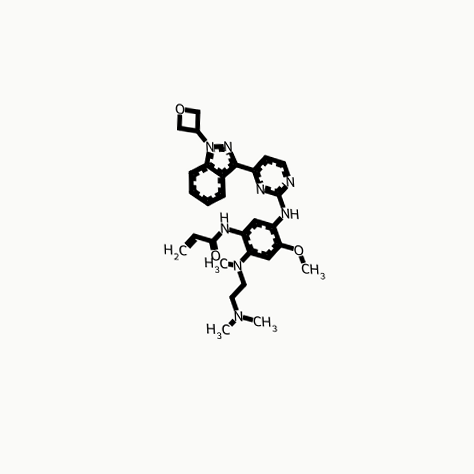 C=CC(=O)Nc1cc(Nc2nccc(-c3nn(C4COC4)c4ccccc34)n2)c(OC)cc1N(C)CCN(C)C